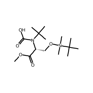 COC(=O)[C@@H](CO[Si](C)(C)C(C)(C)C)N(C(=O)O)C(C)(C)C